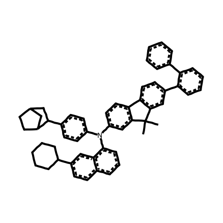 CC1(C)c2cc(-c3ccccc3-c3ccccc3)ccc2-c2ccc(N(c3ccc(C4CC5CCC4C5)cc3)c3cccc4ccc(C5CCCCC5)cc34)cc21